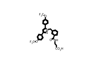 O=C(O)CCNC(=O)c1cccc(Cn2nc(-c3ccc(OC(F)(F)F)cc3)cc2-c2ccc(OC(F)(F)F)cc2)c1